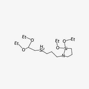 CCOC(C[SiH2]CCCN1CCC[Si]1(OCC)OCC)OCC